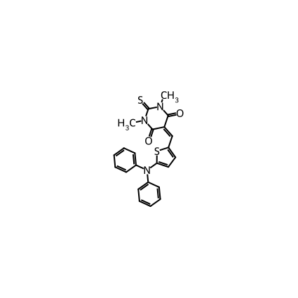 CN1C(=O)C(=Cc2ccc(N(c3ccccc3)c3ccccc3)s2)C(=O)N(C)C1=S